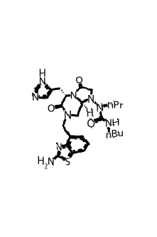 CCCCNC(=O)N(CCC)N1CC(=O)N2[C@@H](Cc3cnc[nH]3)C(=O)N(Cc3cccc4sc(N)nc34)C[C@@H]21